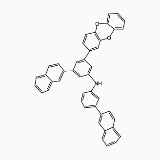 c1cc(Nc2cc(-c3ccc4c(c3)Oc3ccccc3O4)cc(-c3ccc4ccccc4c3)c2)cc(-c2ccc3ccccc3c2)c1